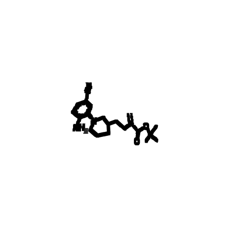 CC(C)(C)OC(=O)NCCC1CCCN(c2cc(C#N)ccc2N)C1